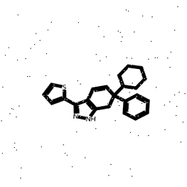 C1=CC(c2ccccc2)(C2CCCCC2)Cc2[nH]nc(-c3cccs3)c21